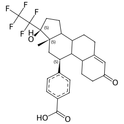 C[C@]12C[C@H](c3ccc(C(=O)O)cc3)C3C4CCC(=O)C=C4CCC3C1CC[C@@]2(O)C(F)(F)C(F)(F)F